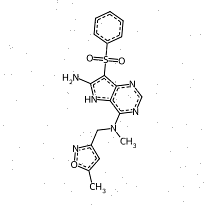 Cc1cc(CN(C)c2ncnc3c(S(=O)(=O)c4ccccc4)c(N)[nH]c23)no1